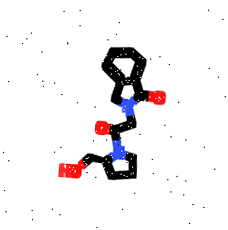 O=C1c2ccccc2CN1CC(=O)N1CCC[C@H]1CO